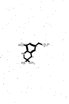 CC1(C)CNc2c(cc(CC(=O)O)cc2S(=O)(=O)O)C1